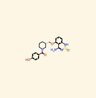 NC1=N[S+]([O-])Nc2cccc(OC[C@H]3CCCN(C(=O)c4ccc(O)cc4)C3)c21